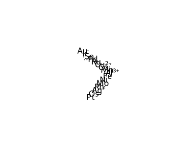 [Ag+].[Al+3].[Au].[Co].[Cu+2].[Fe].[Ir].[Mn].[Mo].[Ni].[Os].[Pd].[Pt].[Rh].[Ru].[Sn]